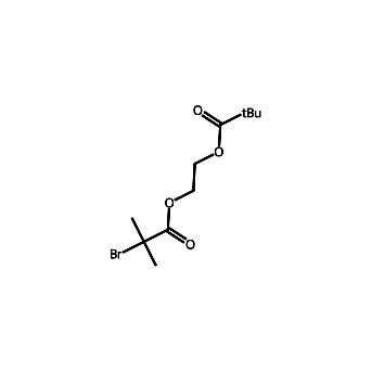 CC(C)(C)C(=O)OCCOC(=O)C(C)(C)Br